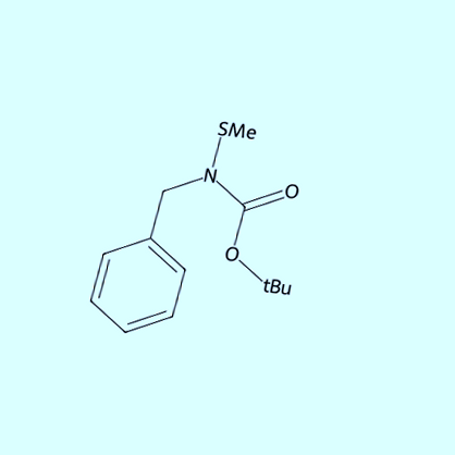 CSN(Cc1ccccc1)C(=O)OC(C)(C)C